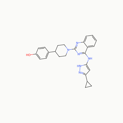 Oc1ccc(C2CCN(c3nc(Nc4cc(C5CC5)n[nH]4)c4ccccc4n3)CC2)cc1